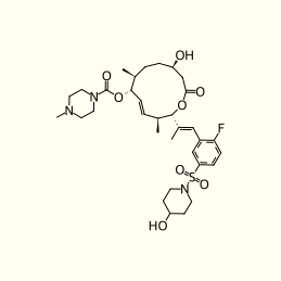 C/C(=C\c1cc(S(=O)(=O)N2CCC(O)CC2)ccc1F)[C@H]1OC(=O)C[C@H](O)CC[C@H](C)[C@@H](OC(=O)N2CCN(C)CC2)/C=C/[C@@H]1C